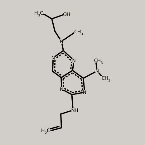 C=CCNc1nc(N(C)C)c2nc(N(C)CC(C)O)ncc2n1